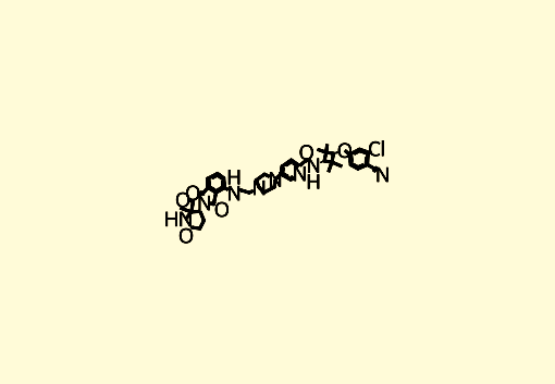 CC1(C)[C@H](NC(=O)c2ccc(N3CCN(CCNc4cccc5c4C(=O)N(C4CCC(=O)NC46COC6)C5=O)CC3)cn2)C(C)(C)[C@H]1Oc1ccc(C#N)c(Cl)c1